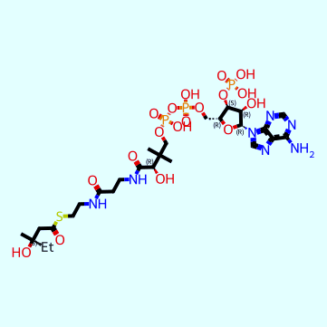 CC[C@](C)(O)CC(=O)SCCNC(=O)CCNC(=O)[C@H](O)C(C)(C)COP(=O)(O)OP(=O)(O)OC[C@H]1O[C@@H](n2cnc3c(N)ncnc32)[C@H](O)[C@@H]1OP(=O)(O)O